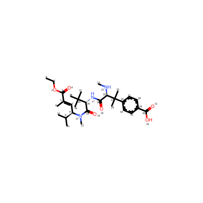 CCOC(=O)/C(C)=C/[C@H](C(C)C)N(C)C(=O)[C@@H](NC(=O)[C@@H](NC)C(C)(C)c1ccc(C(=O)O)cc1)C(C)(C)C